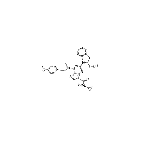 COc1ccc(CN(C)c2cc(N3c4ccccc4C[C@H]3CO)nn3c(C(=O)NC4CC4)cnc23)cc1